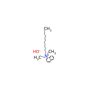 CCCCCCCCCCCCCC[N+](CCC)(CCC)c1cccc2ccccc12.[OH-]